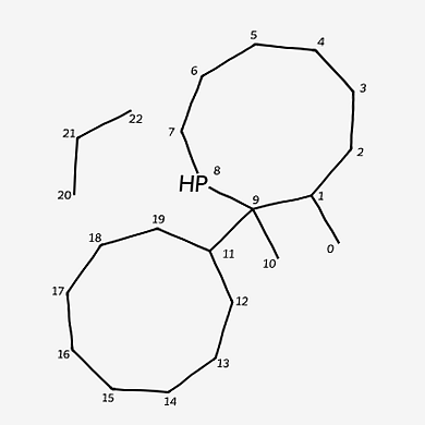 CC1CCCCCCPC1(C)C1CCCCCCCC1.CCC